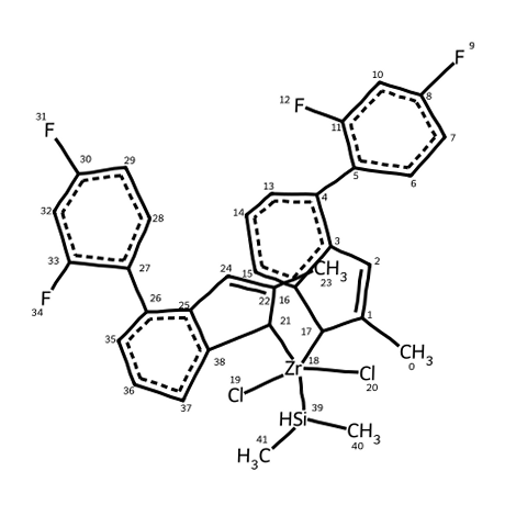 CC1=Cc2c(-c3ccc(F)cc3F)cccc2[CH]1[Zr]([Cl])([Cl])([CH]1C(C)=Cc2c(-c3ccc(F)cc3F)cccc21)[SiH](C)C